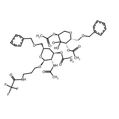 CC(=O)N[C@@H]1[C@@H](OCCCNC(=O)C(F)(F)F)O[C@@H](COCc2ccccc2)[C@H](OC2(O)[C@@H](OC(C)=O)CO[C@H](COCc3ccccc3)[C@@H]2OC(C)=O)[C@H]1OC(C)=O